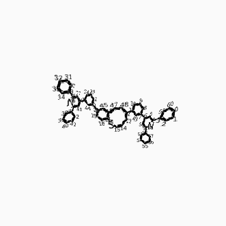 c1ccc(-c2cc(-c3cccc(-c4cccsc5ccc(-c6cccc(-c7cc(-c8ccccc8)nc(-c8ccccc8)c7)c6)cc5cc4)c3)cc(-c3ccccc3)n2)cc1